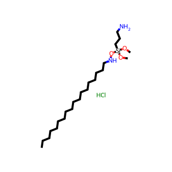 CCCCCCCCCCCCCCCCCCNO[Si](CCCN)(OC)OC.Cl